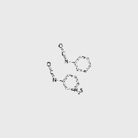 O=C=Nc1ccccc1.O=C=Nc1ccccc1.S